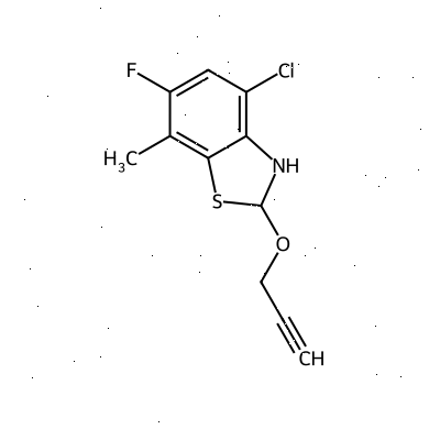 C#CCOC1Nc2c(Cl)cc(F)c(C)c2S1